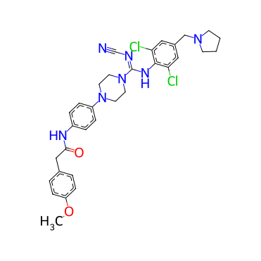 COc1ccc(CC(=O)Nc2ccc(N3CCN(/C(=N\C#N)Nc4c(Cl)cc(CN5CCCC5)cc4Cl)CC3)cc2)cc1